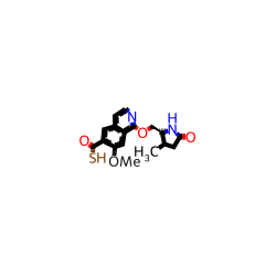 COc1cc2c(OC[C@H]3NC(=O)CC3C)nccc2cc1C(=O)S